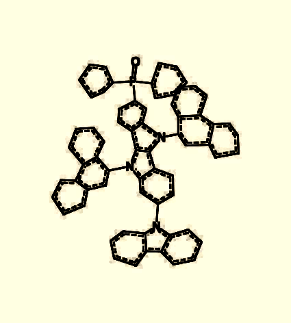 O=P(c1ccccc1)(c1ccccc1)c1ccc2c(c1)n(-c1cc3ccccc3c3ccccc13)c1c3ccc(-n4c5ccccc5c5ccccc54)cc3n(-c3cc4ccccc4c4ccccc34)c21